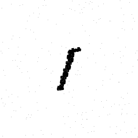 CCC1(COc2ccc(C(=O)Oc3ccc(C(=O)Oc4ccc(C(=O)OC5CCC6(C)C(=CCC7C6CCC6(C)C(C(C)CCCC(C)C)CCC76)C5)cc4)cc3)cc2)COC1